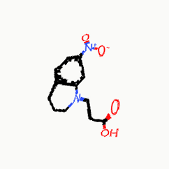 O=C(O)CCN1CCCc2ccc([N+](=O)[O-])cc21